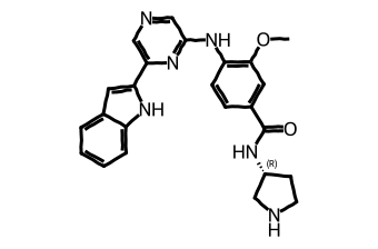 COc1cc(C(=O)N[C@@H]2CCNC2)ccc1Nc1cncc(-c2cc3ccccc3[nH]2)n1